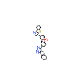 c1ccc2c(c1)Cc1c(-c3ccc4oc5ccc(-c6ccnc7c6sc6ccccc67)cc5c4c3)ncnc1-2